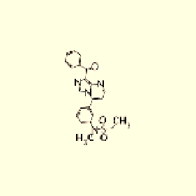 CCS(=O)(=O)N(C)c1cccc(-c2ccnc3c(C(=O)c4ccccc4)ncn23)c1